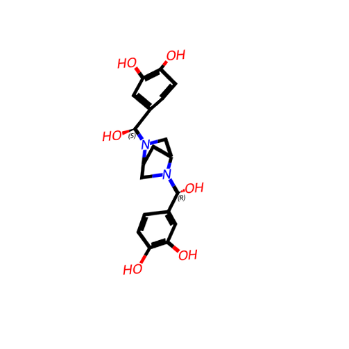 Oc1ccc([C@@H](O)N2CC3CC2CN3[C@@H](O)c2ccc(O)c(O)c2)cc1O